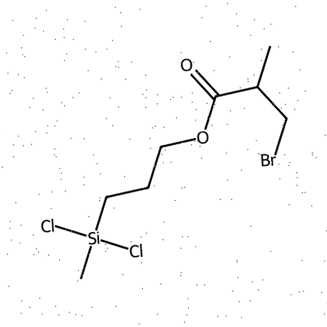 CC(CBr)C(=O)OCCC[Si](C)(Cl)Cl